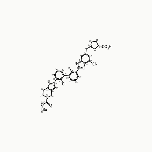 Cc1c(-c2nc3cc(CN4CC[C@H](C(=O)O)C4)cc(C#N)c3o2)cccc1-c1cccc(-n2cc3c(n2)CCN(C(=O)OC(C)(C)C)C3)c1Cl